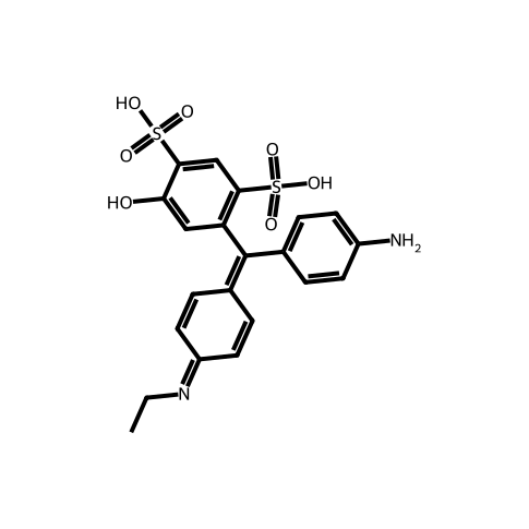 CCN=C1C=CC(=C(c2ccc(N)cc2)c2cc(O)c(S(=O)(=O)O)cc2S(=O)(=O)O)C=C1